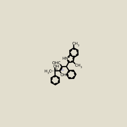 Cc1ccc2c(C)c(C(/C(C=O)=C(\O)[C@](C)(O)c3ccccc3)c3ccccc3)[nH]c2c1